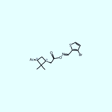 CC(=O)[C@H]1C[C@@H](CC(=O)ON=Cc2sccc2Br)C1(C)C